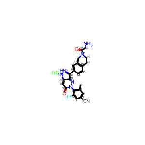 Cc1cc(C#N)cc(F)c1-n1nc2c(-c3ccc4c(c3)CN(C(=O)CN)CC4)n[nH]c2cc1=O.Cl